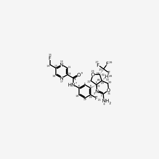 NC1=N[C@@]2(c3cc(NC(=O)c4cnc(CF)cn4)ccc3F)CO[C@H](C(F)(F)F)[C@H]2CO1